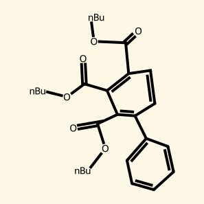 CCCCOC(=O)c1ccc(-c2ccccc2)c(C(=O)OCCCC)c1C(=O)OCCCC